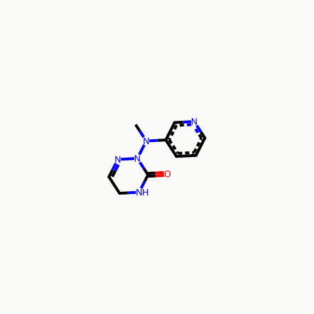 CN(c1cccnc1)N1N=CCNC1=O